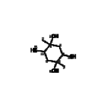 CC1(O)CC(S)C(C)(O)CC1S